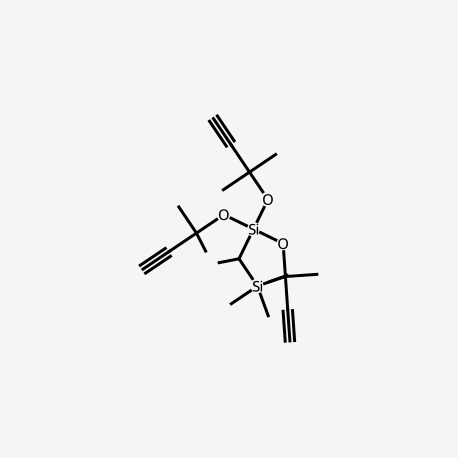 C#CC(C)(C)O[Si](OC(C)(C)C#C)(OC(C)(C)C#C)C(C)[Si](C)(C)C